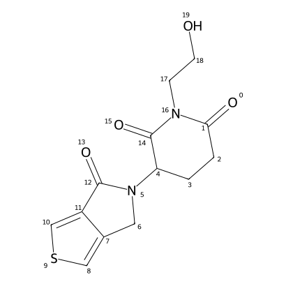 O=C1CCC(N2Cc3cscc3C2=O)C(=O)N1CCO